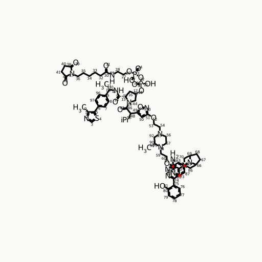 Cc1ncsc1-c1ccc([C@H](C)NC(=O)[C@@H]2C[C@@H](OP(=O)(O)OP(=O)(O)OCCNC(=O)CCCCCN3C(=O)CCC3=O)CN2C(=O)C(c2cc(OCCN3CCN(CCOc4cc(N5C6CCC5CN(c5cc(-c7ccccc7O)nnc5N)C6)ccn4)[C@H](C)C3)no2)C(C)C)cc1